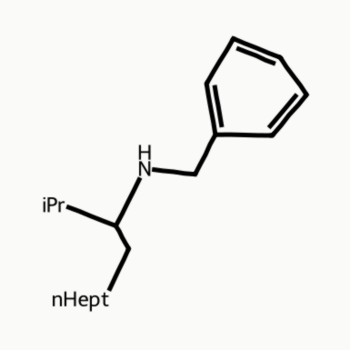 CCCCCCCCC(NCc1ccccc1)C(C)C